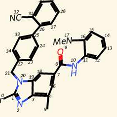 CCCc1nc2c(C)cc(C(=O)Nc3ccccc3NC)cc2n1Cc1ccc(-c2ccccc2C#N)cc1